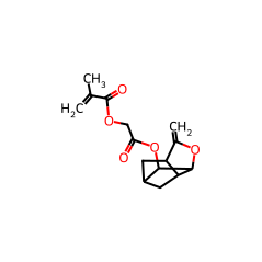 C=C(C)C(=O)OCC(=O)OC1C2CC3C(=C)OC1C3C2